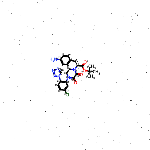 CC(C)(C)OC(=O)[C@H](Cc1ccc(N)cc1)N1CCN(c2cc(Cl)ccc2-n2cnnn2)C(=O)C1=O